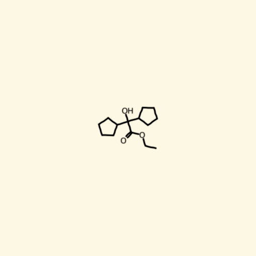 CCOC(=O)C(O)(C1CCCC1)C1CCCC1